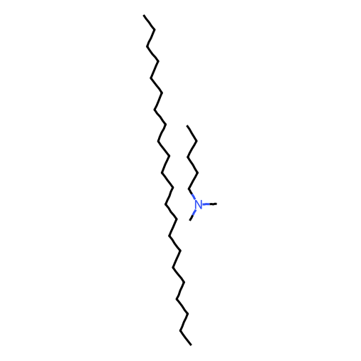 CCCCCCCCCCCCCCCCCCCCCC.CCCCCN(C)C